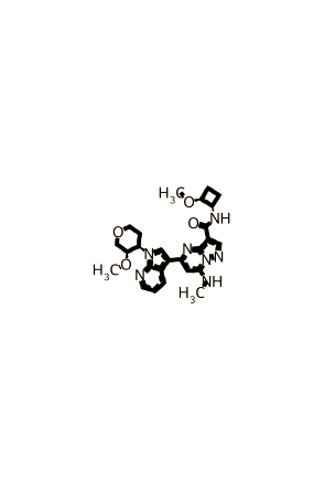 CNc1cc(-c2cn([C@@H]3CCOC[C@@H]3OC)c3ncccc23)nc2c(C(=O)N[C@H]3CC[C@@H]3OC)cnn12